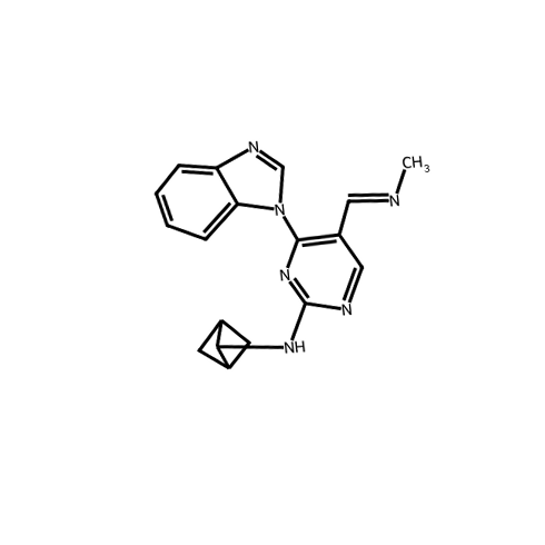 C/N=C/c1cnc(NC2C3CC2C3)nc1-n1cnc2ccccc21